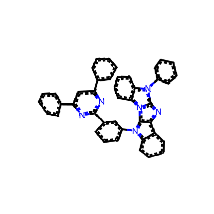 c1ccc(-c2cc(-c3ccccc3)nc(-c3cccc(-n4c5ccccc5c5nc6n(-c7ccccc7)c7ccccc7n6c54)c3)n2)cc1